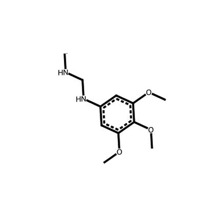 [CH2]NCNc1cc(OC)c(OC)c(OC)c1